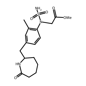 COC(=O)CN(c1ccc(CC2CCCCC(=O)N2)cc1C)S(N)(=O)=O